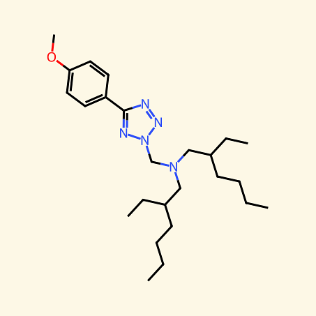 CCCCC(CC)CN(CC(CC)CCCC)Cn1nnc(-c2ccc(OC)cc2)n1